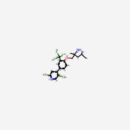 CC(C)CC(C)(N)COc1ccc(-c2cc(F)ncc2Cl)cc1C(F)(F)F